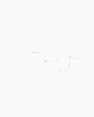 CC1(C)C=C(C(=O)NCCO)C(C)(C)N1O